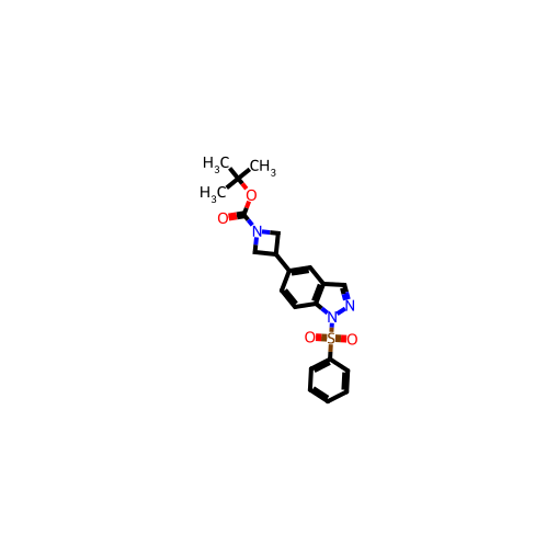 CC(C)(C)OC(=O)N1CC(c2ccc3c(cnn3S(=O)(=O)c3ccccc3)c2)C1